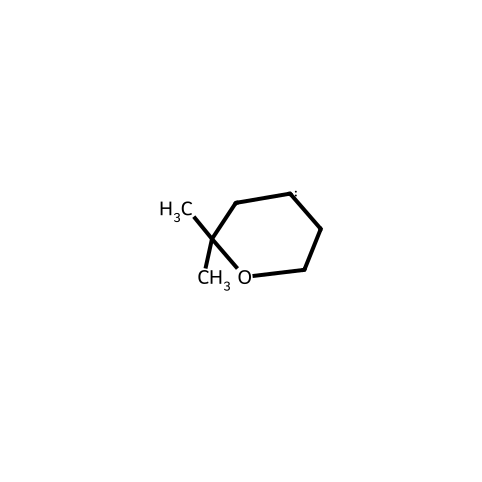 CC1(C)C[C]CCO1